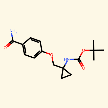 CC(C)(C)OC(=O)NC1(COc2ccc(C(N)=O)cc2)CC1